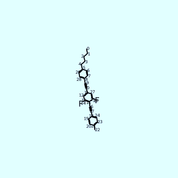 CCCCCc1ccc(C#Cc2cc(F)c(C#Cc3ccc(C)cc3)c(F)c2)cc1